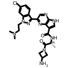 C[C@@H](NC(=O)c1c[nH]c2ncc(-c3nn(CCN(C)C)c4cc(Cl)ccc34)nc12)C(=O)N1CC(N)C1